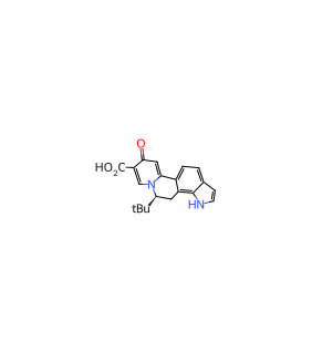 CC(C)(C)[C@@H]1Cc2c(ccc3cc[nH]c23)-c2cc(=O)c(C(=O)O)cn21